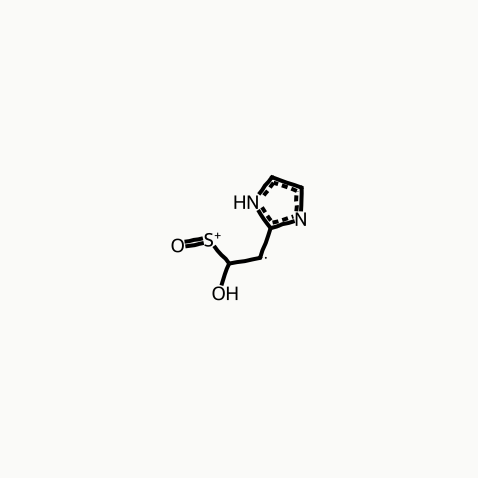 O=[S+]C(O)[CH]c1ncc[nH]1